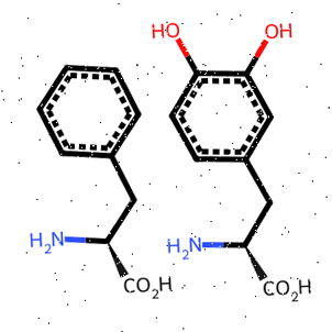 N[C@@H](Cc1ccc(O)c(O)c1)C(=O)O.N[C@@H](Cc1ccccc1)C(=O)O